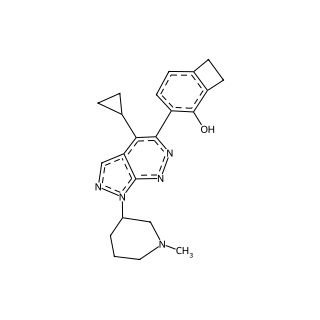 CN1CCCC(n2ncc3c(C4CC4)c(-c4ccc5c(c4O)CC5)nnc32)C1